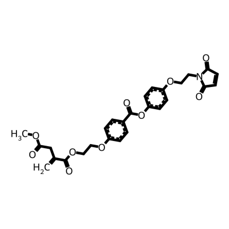 C=C(CC(=O)OC)C(=O)OCCOc1ccc(C(=O)Oc2ccc(OCCN3C(=O)C=CC3=O)cc2)cc1